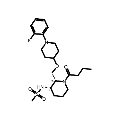 CCCC(=O)N1CCC[C@H](NS(C)(=O)=O)[C@@H]1COC1CCN(c2ccccc2F)CC1